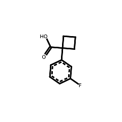 O=C(O)C1(c2cccc(F)c2)CCC1